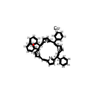 C1=CC2=NC1=CC1C=CC(c3ccccc3)(N1)C(c1ccccc1)=C1C=CC(=N1)C(c1ccccc1)=c1ccc([nH]1)=C2c1ccccc1.[Cu]